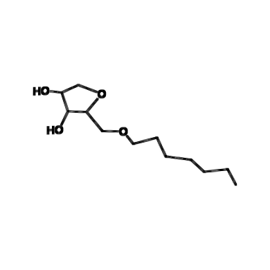 CCCCCCCOCC1OCC(O)C1O